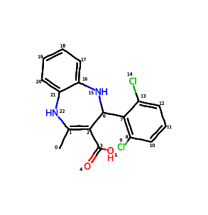 CC1=C(C(=O)O)C(c2c(Cl)cccc2Cl)Nc2ccccc2N1